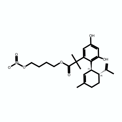 C=C(C)[C@@H]1CCC(C)=C[C@H]1c1c(O)cc(O)cc1C(C)(C)C(=O)OCCCCO[N+](=O)[O-]